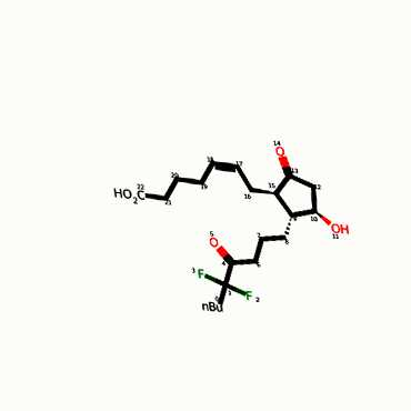 CCCCC(F)(F)C(=O)CCC[C@H]1[C@H](O)CC(=O)[C@@H]1C/C=C\CCCC(=O)O